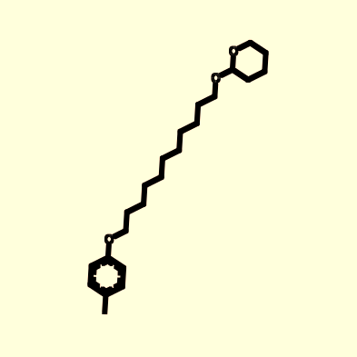 Cc1ccc(OCCCCCCCCCCCOC2CCCCO2)cc1